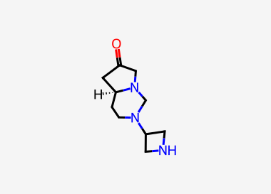 O=C1C[C@@H]2CCN(C3CNC3)CN2C1